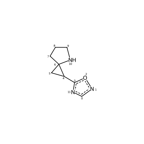 c1noc(C2CC23CCCN3)n1